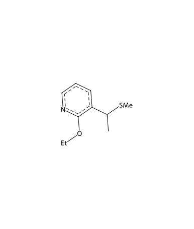 CCOc1ncccc1C(C)SC